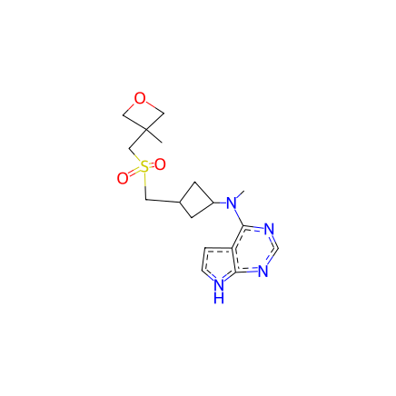 CN(c1ncnc2[nH]ccc12)C1CC(CS(=O)(=O)CC2(C)COC2)C1